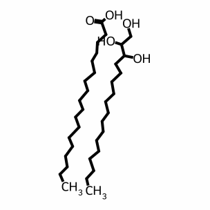 CCCCCCCCCCCCCCC(O)C(O)CO.CCCCCCCCCCCCCCCCCC(=O)O